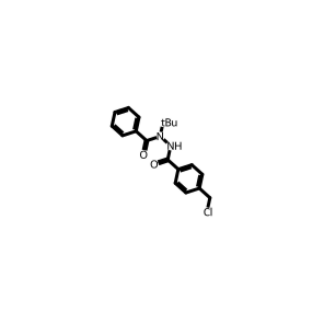 CC(C)(C)N(NC(=O)c1ccc(CCl)cc1)C(=O)c1ccccc1